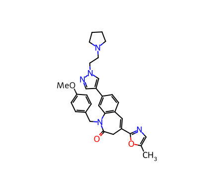 COc1ccc(CN2C(=O)CC(c3ncc(C)o3)=Cc3ccc(-c4cnn(CCN5CCCC5)c4)cc32)cc1